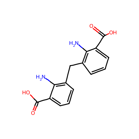 Nc1c(Cc2cccc(C(=O)O)c2N)cccc1C(=O)O